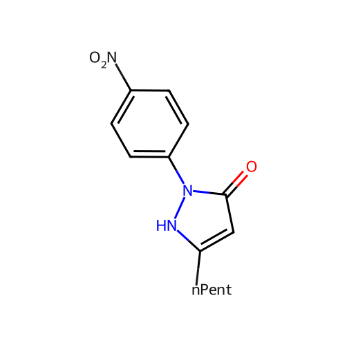 CCCCCc1cc(=O)n(-c2ccc([N+](=O)[O-])cc2)[nH]1